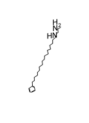 CC(N)CNCCCCCCCCCCCCCCCCCCc1ccccc1